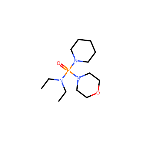 CCN(CC)P(=O)(N1CCCCC1)N1CCOCC1